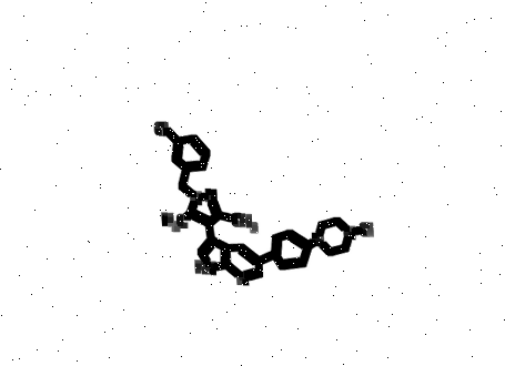 Cc1nn(Cc2cccc(Cl)c2)c(C)c1-c1c[nH]c2ncc(-c3ccc(N4CCN(Cl)CC4)cc3)cc12